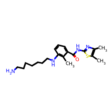 Cc1nc(NC(=O)c2cccc(NCCCCCCCN)c2C)sc1C